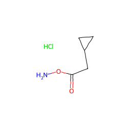 Cl.NOC(=O)CC1CC1